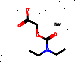 CCN(CC)C(=O)OCC(=O)[O-].[Na+]